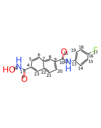 O=C(NO)c1ccc2cc(C(=O)Nc3ccc(F)cc3)ccc2c1